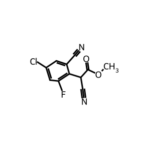 COC(=O)C(C#N)c1c(F)cc(Cl)cc1C#N